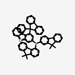 CC1(C)c2ccccc2-c2ccc(N(c3cc(C4(c5ccccc5)c5ccccc5-c5ccccc54)c4c(c3)oc3ccccc34)c3cccc4c3-c3ccccc3C4(C)C)cc21